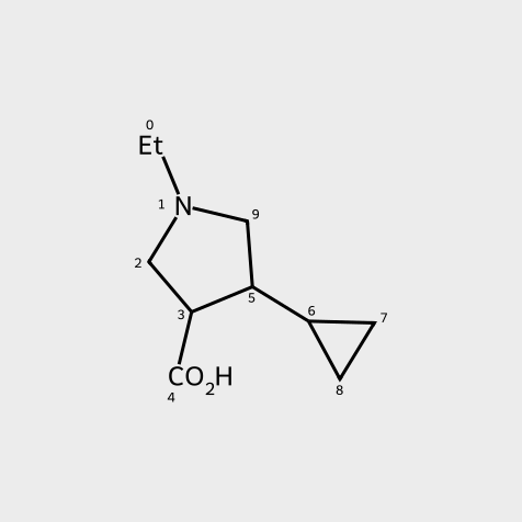 CCN1CC(C(=O)O)C(C2CC2)C1